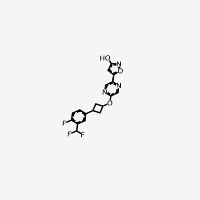 Oc1cc(-c2cnc(OC3CC(c4ccc(F)c(C(F)F)c4)C3)cn2)on1